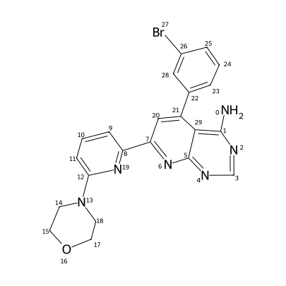 Nc1ncnc2nc(-c3cccc(N4CCOCC4)n3)cc(-c3cccc(Br)c3)c12